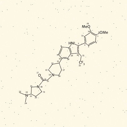 COc1ccc(-c2[nH]c3ccc(C4CCN(CC(=O)N5CCC(N(C)C)C5)CC4)cc3c2CC(F)(F)F)cc1OC